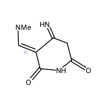 CN/C=C1\C(=N)CC(=O)NC1=O